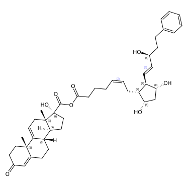 C[C@]12CCC(=O)C=C1CC[C@@H]1C2=CC[C@@]2(C)[C@H]1CC[C@]2(O)C(=O)OC(=O)CCC/C=C\C[C@@H]1[C@@H](/C=C/[C@@H](O)CCc2ccccc2)[C@H](O)C[C@@H]1O